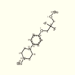 CC(C)(C)OCC(F)(F)COc1ccc(N2CCN(C(C)(C)C)CC2)cc1